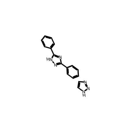 c1c[nH]nn1.c1ccc(-c2n[nH]c(-c3ccccc3)n2)cc1